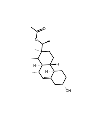 CC(=O)O[C@@H](C)[C@@]1(C)CC[C@H]2[C@H](C1C)[C@@H](C)C=C1C[C@@H](O)CC[C@@H]12